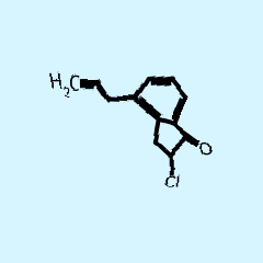 C=CCc1cccc2c1CC(Cl)C2=O